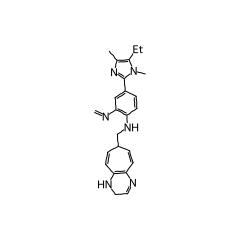 C=Nc1cc(-c2nc(C)c(CC)n2C)ccc1NCC1C=CC2=C(C=C1)NCC=N2